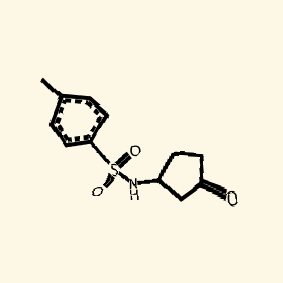 Cc1ccc(S(=O)(=O)NC2CCC(=O)C2)cc1